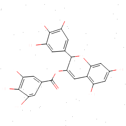 O=C(OC1=Cc2c(O)cc(O)cc2OC1c1cc(O)c(O)c(O)c1)c1cc(O)c(O)c(O)c1